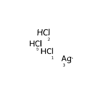 Cl.Cl.Cl.[Ag]